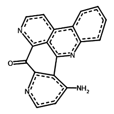 Nc1ccnc2c1-c1nc3ccccc3c3ccnc(c13)C2=O